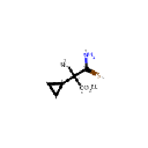 CCOC(=O)C(C#N)(C(N)=S)C1CC1